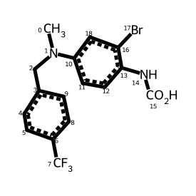 CN(Cc1ccc(C(F)(F)F)cc1)c1ccc(NC(=O)O)c(Br)c1